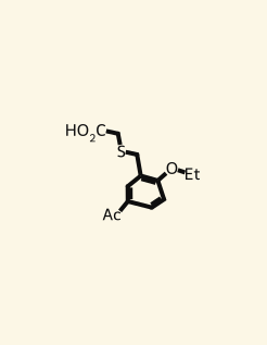 CCOc1ccc(C(C)=O)cc1CSCC(=O)O